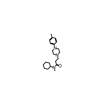 Cc1ccc(N2CCN(CCC(=O)N(C)C3CCCCC3)CC2)cc1